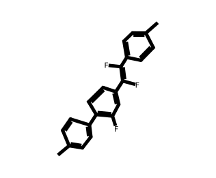 Cc1ccc(/C(F)=C(\F)c2ccc(-c3ccc(C)cc3)c(F)c2)cc1